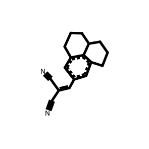 N#CC(C#N)=Cc1cc2c3c(c1)CCCC3CCC2